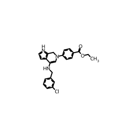 CCOC(=O)c1ccc(N2C=C(NCc3cccc(Cl)c3)c3cc[nH]c3C2)cc1